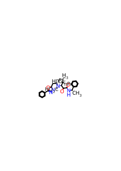 CCC[C@H](Cc1nnc(-c2ccccc2)o1)N(C(=O)O)[C@H](C(=O)C(=O)N[C@H](C)c1ccccc1)C(C)(C)CCC